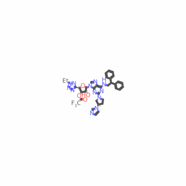 CCn1nnc([C@H]2O[C@@H](n3cnc4c(NCC(c5ccccc5)c5ccccc5)nc(N5CC[C@@H](n6ccnc6)C5)nc43)[C@H](O)[C@@H]2OC(=O)C(F)(F)F)n1